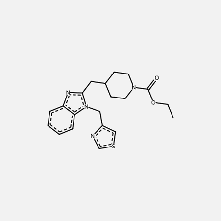 CCOC(=O)N1CCC(Cc2nc3ccccc3n2Cc2cscn2)CC1